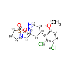 COc1ccc(Cl)c(Cl)c1C1CCNC(CN2CCCS2(=O)=O)C1